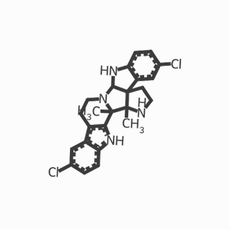 CC12c3[nH]c4ccc(Cl)cc4c3CCN1C1Nc3ccc(Cl)cc3C13CCNC32C